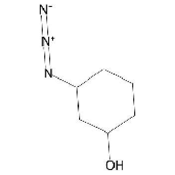 [N-]=[N+]=NC1CCCC(O)C1